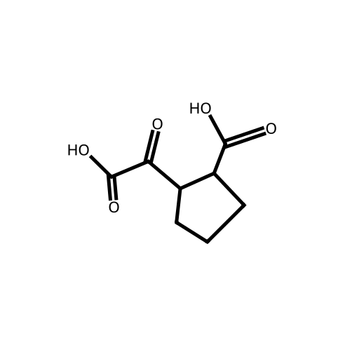 O=C(O)C(=O)C1CCCC1C(=O)O